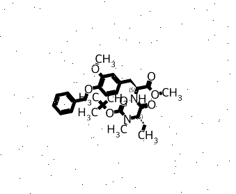 CC[C@@H](C(=O)N[C@@H](Cc1ccc(OCc2ccccc2)c(OC)c1)C(=O)OC)N(C)C(=O)OC(C)(C)C